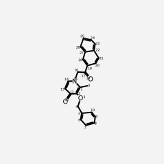 Cc1c(OCc2ccccc2)c(=O)ccn1CC(=O)c1ccc2ccccc2c1